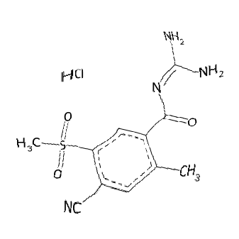 Cc1cc(C#N)c(S(C)(=O)=O)cc1C(=O)N=C(N)N.Cl